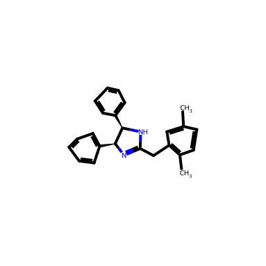 Cc1ccc(C)c(CC2=N[C@@H](c3ccccc3)[C@@H](c3ccccc3)N2)c1